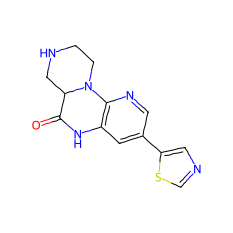 O=C1Nc2cc(-c3cncs3)cnc2N2CCNCC12